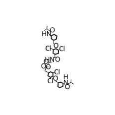 CC(C)C(=O)Nc1cccc(COc2c(Cl)cc(CC(=O)OC(=O)CNC(=O)c3cc(Cl)c(OCc4cccc(NC(=O)C(C)C)c4)c(Cl)c3)cc2Cl)c1